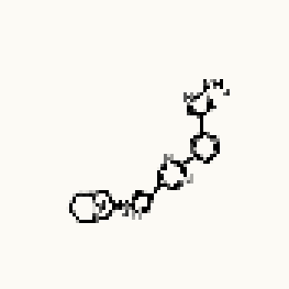 CN1C2CCCC1CC(n1cc(-c3cnc(-c4cccc(-c5cnn(C)c5)c4)nc3)cn1)C2